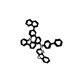 c1ccc(-c2ccc(N(c3ccc(-c4cc(-c5cccc6ccccc56)ccc4-n4c5ccccc5c5ccccc54)cc3)c3ccc4oc5ccccc5c4n3)cc2)cc1